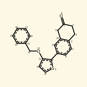 O=C1CCc2ccc(-c3sccc3OCc3ccccc3)cc2C1